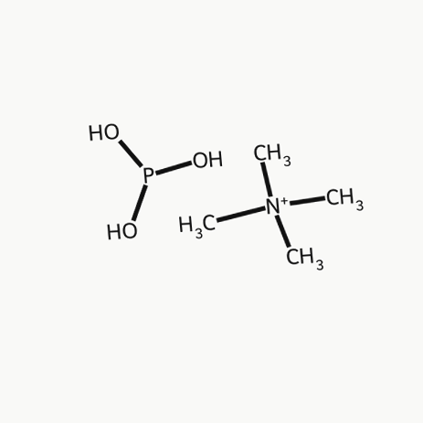 C[N+](C)(C)C.OP(O)O